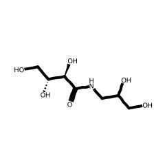 O=C(NCC(O)CO)[C@H](O)[C@H](O)CO